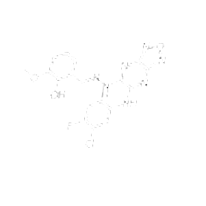 COc1cccc(/C=N/Nc2nc3nonc3nc2Nc2ccc(F)c(Cl)c2)c1O